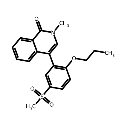 CCCOc1ccc(S(C)(=O)=O)cc1-c1cn(C)c(=O)c2ccccc12